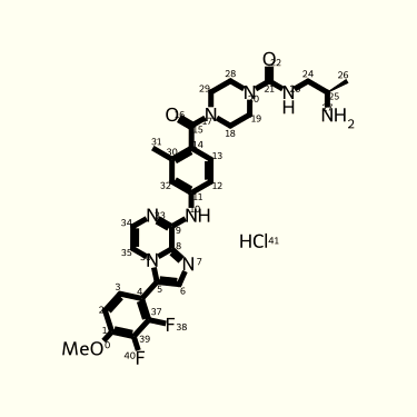 COc1ccc(-c2cnc3c(Nc4ccc(C(=O)N5CCN(C(=O)NC[C@@H](C)N)CC5)c(C)c4)nccn23)c(F)c1F.Cl